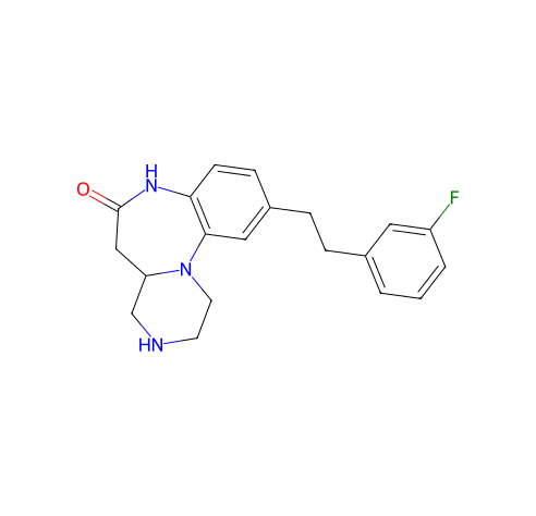 O=C1CC2CNCCN2c2cc(CCc3cccc(F)c3)ccc2N1